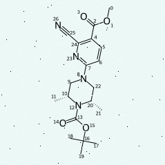 COC(=O)c1ccc(N2C[C@@H](C)N(C(=O)OC(C)(C)C)[C@@H](C)C2)nc1C#N